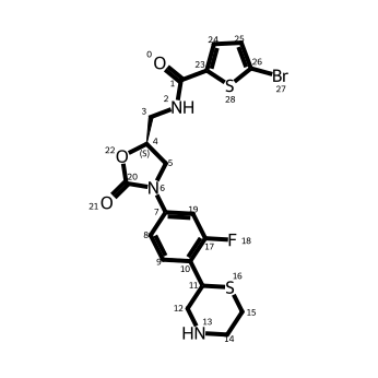 O=C(NC[C@H]1CN(c2ccc(C3CNCCS3)c(F)c2)C(=O)O1)c1ccc(Br)s1